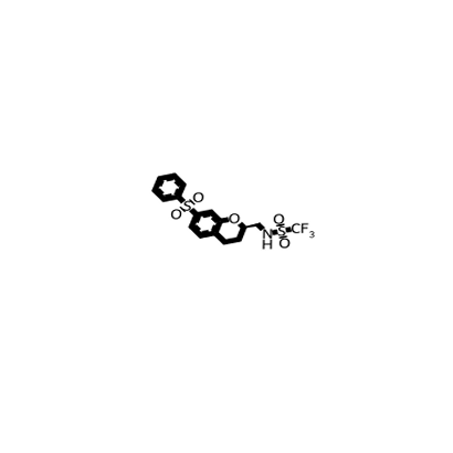 O=S(=O)(c1ccccc1)c1ccc2c(c1)O[C@@H](CNS(=O)(=O)C(F)(F)F)CC2